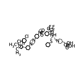 Cc1cc(-c2cccc(N3CCN(c4ccc(N5CCO[P@]5(=O)c5ccc(N[C@H](CCN6CCC(COP(=O)(O)O)CC6)CSc6ccccc6)c(S(=O)(=O)C(F)(F)F)c5)cc4)CC3)c2)c(-c2ccc(Cl)cc2)n1C(C)C